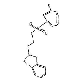 O=S(=O)(CCCN1CCc2ccccc2C1)c1cccc(F)c1